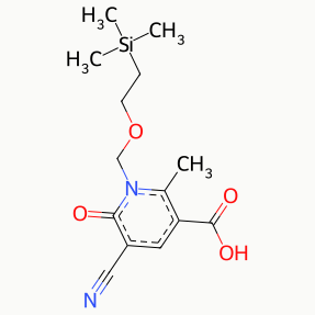 Cc1c(C(=O)O)cc(C#N)c(=O)n1COCC[Si](C)(C)C